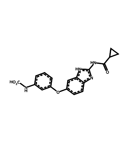 O=C(O)Nc1cccc(Oc2ccc3nc(NC(=O)C4CC4)[nH]c3c2)c1